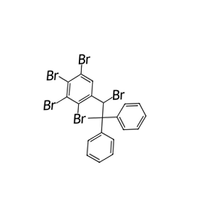 CC(c1ccccc1)(c1ccccc1)C(Br)c1cc(Br)c(Br)c(Br)c1Br